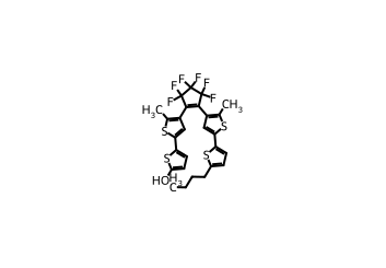 CCCCc1ccc(-c2cc(C3=C(c4cc(-c5ccc(O)s5)sc4C)C(F)(F)C(F)(F)C3(F)F)c(C)s2)s1